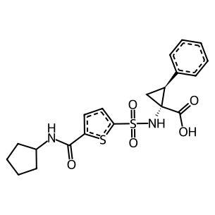 O=C(NC1CCCC1)c1ccc(S(=O)(=O)N[C@]2(C(=O)O)C[C@H]2c2ccccc2)s1